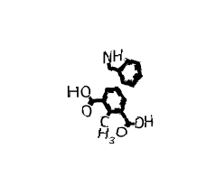 Cc1c(C(=O)O)cccc1C(=O)O.NCc1ccccc1